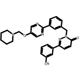 N#Cc1cccc(-c2ccc(=O)n(Cc3cccc(-c4ncc(OCN5CCCCC5)cn4)c3)n2)c1